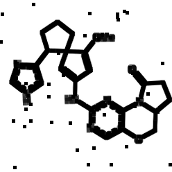 COC1=CC(Nc2ncc3c(n2)N2C(=O)CCC2CO3)=CC12CCCC2c1c[nH]cn1